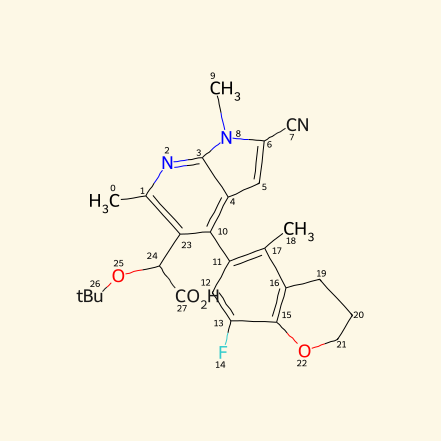 Cc1nc2c(cc(C#N)n2C)c(-c2cc(F)c3c(c2C)CCCO3)c1C(OC(C)(C)C)C(=O)O